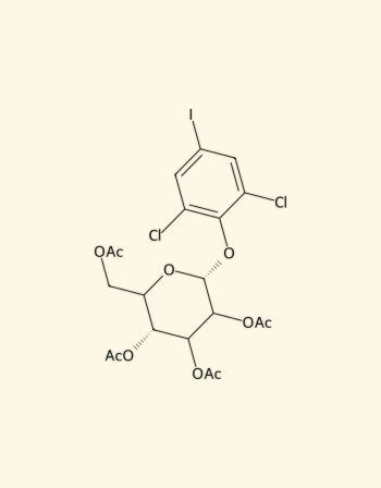 CC(=O)OCC1O[C@H](Oc2c(Cl)cc(I)cc2Cl)C(OC(C)=O)C(OC(C)=O)[C@@H]1OC(C)=O